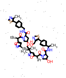 Cc1ncsc1-c1ccc(CNC(=O)C2CC(OCC(C)(C)c3cc(C(C(=O)N4CC(O)CC4C(=O)NC(C)c4ccc(-c5scnc5CO)cc4)C(C)C)on3)CN2C(=O)C(c2cc(C(C)(C)C)no2)C(C)(C)C)cc1